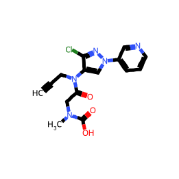 C#CCN(C(=O)CN(C)C(=O)O)c1cn(-c2cccnc2)nc1Cl